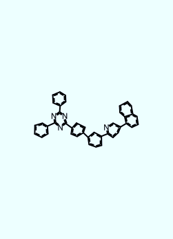 c1ccc(-c2nc(-c3ccccc3)nc(-c3ccc(-c4cccc(-c5ccc(-c6cccc7ccccc67)cn5)c4)cc3)n2)cc1